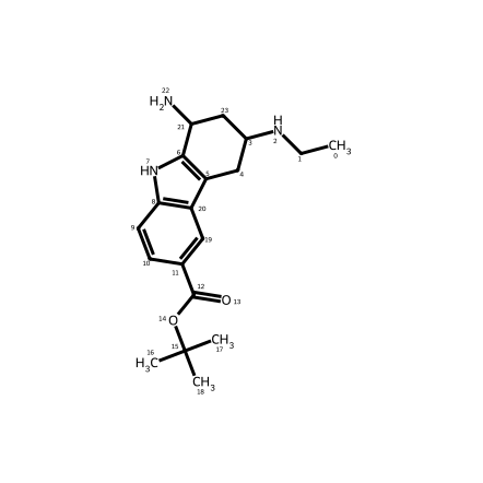 CCNC1Cc2c([nH]c3ccc(C(=O)OC(C)(C)C)cc23)C(N)C1